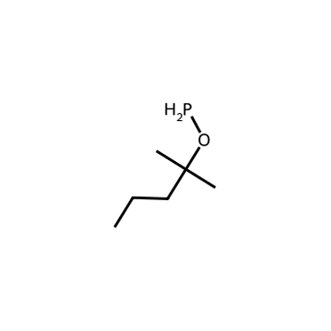 CCCC(C)(C)OP